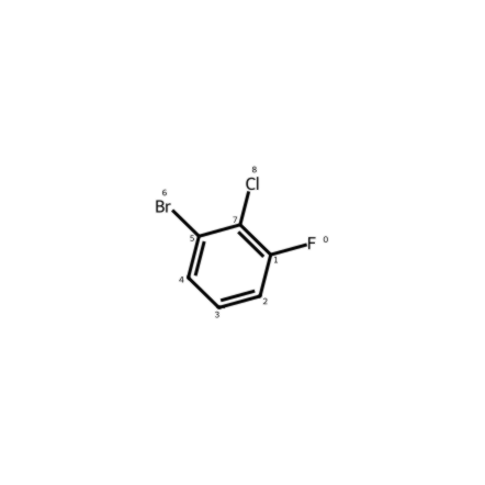 Fc1c[c]cc(Br)c1Cl